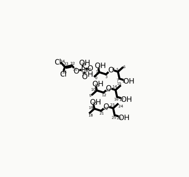 CC(O)COC(C)CO.CC(O)COC(C)CO.CC(O)COC(C)CO.O=P(O)(O)OC=C(Cl)Cl